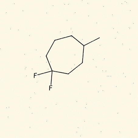 CC1CCCC(F)(F)CC1